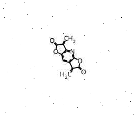 C=C1C(=O)Oc2nc3c(cc21)OC(=O)C3=C